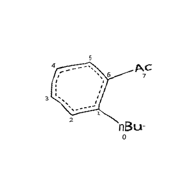 CCC[CH]c1ccccc1C(C)=O